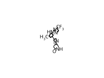 Cc1cc(Nc2nccc(C(F)(F)F)n2)cc(-c2cnn([C@H]3CCNC(=O)CC3)c2)c1